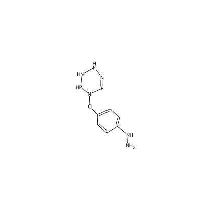 NNc1ccc(On2pn[pH][nH][pH]2)cc1